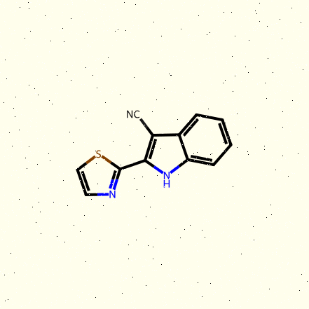 N#Cc1c(-c2nccs2)[nH]c2ccccc12